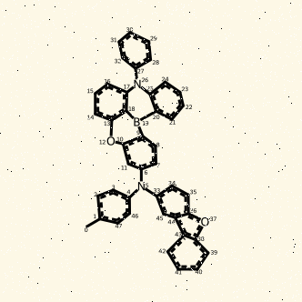 Cc1ccc(N(c2ccc3c(c2)Oc2cccc4c2B3c2ccccc2N4c2ccccc2)c2ccc3oc4ccccc4c3c2)cc1